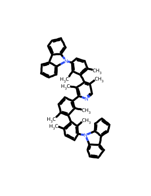 Cc1ccc(-c2ncc(C)c(-c3c(C)ccc(-n4c5ccccc5c5ccccc54)c3C)c2C)c(C)c1-c1c(C)ccc(-n2c3ccccc3c3ccccc32)c1C